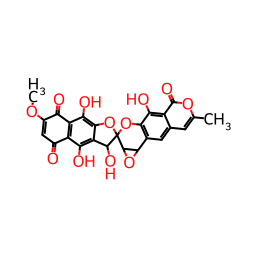 COC1=CC(=O)c2c(O)c3c(c(O)c2C1=O)OC1(Oc2c(cc4cc(C)oc(=O)c4c2O)C2OC21)C3O